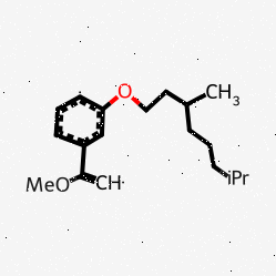 [CH]=C(OC)c1cc[c]c(OCCC(C)CCCC(C)C)c1